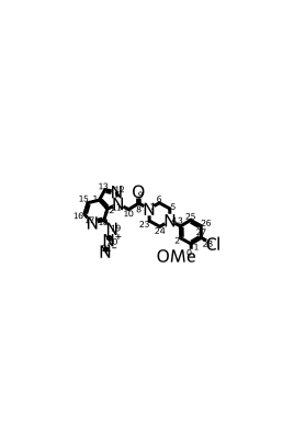 COc1cc(N2CCN(C(=O)Cn3ncc4ccnc(N=[N+]=[N-])c43)CC2)ccc1Cl